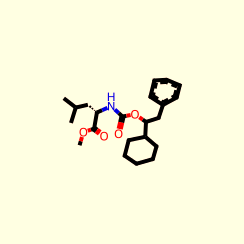 COC(=O)[C@H](CC(C)C)NC(=O)OC(Cc1ccccc1)C1CCCCC1